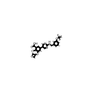 O=C(O)c1cc(-c2cnc(NCc3cccc(OC(F)(F)F)c3)nc2)cc(OC2COC2)c1Cl